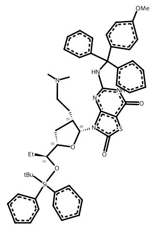 CC[C@H](O[Si](c1ccccc1)(c1ccccc1)C(C)(C)C)[C@@H]1C[C@H](CCN(C)C)[C@H](n2c(=O)sc3c(=O)[nH]c(NC(c4ccccc4)(c4ccccc4)c4ccc(OC)cc4)nc32)O1